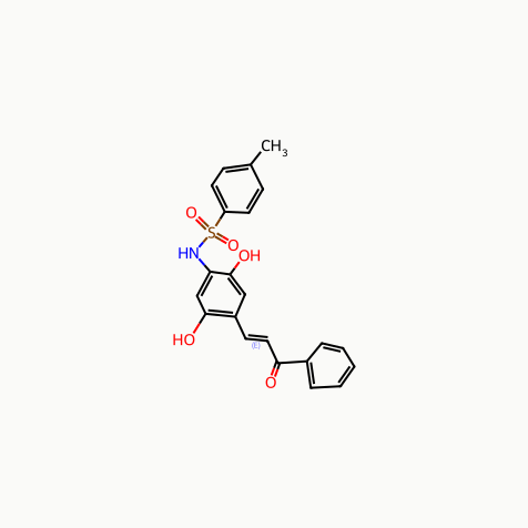 Cc1ccc(S(=O)(=O)Nc2cc(O)c(/C=C/C(=O)c3ccccc3)cc2O)cc1